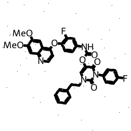 COc1cc2nccc(Oc3ccc(NC(=O)Oc4cn(CCc5ccccc5)c(=O)n(-c5ccc(F)cc5)c4=O)cc3F)c2cc1OC